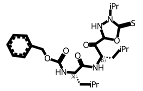 CC(C)C[C@H](NC(=O)OCc1ccccc1)C(=O)N[C@@H](CC(C)C)C(=O)C1NN(C(C)C)C(=S)O1